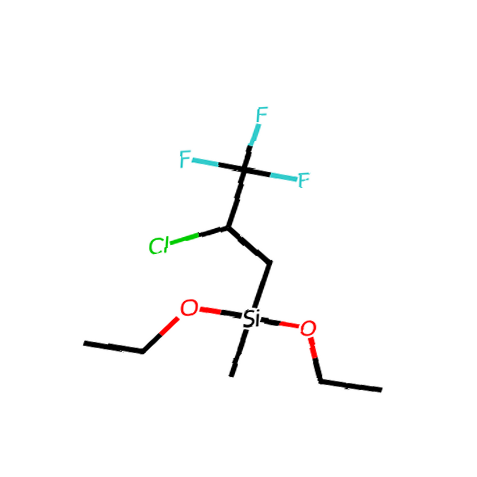 CCO[Si](C)(CC(Cl)C(F)(F)F)OCC